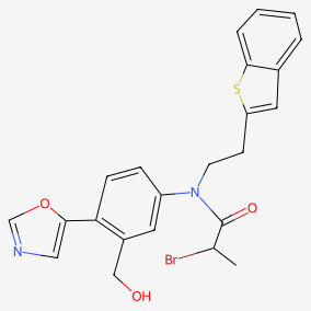 CC(Br)C(=O)N(CCc1cc2ccccc2s1)c1ccc(-c2cnco2)c(CO)c1